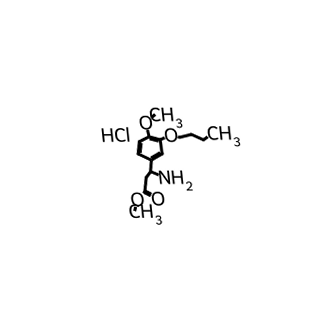 CCCCOc1cc(C(N)CC(=O)OC)ccc1OC.Cl